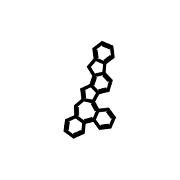 c1ccc2c(c1)Cc1c-2ccc2c3c4ccccc4c4ccccc4cc-3cc12